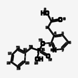 O=C(O)Cc1cccnc1OP(=O)(O)Cc1ccccc1